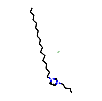 CCCCCCCCCCCCCCCCCC[n+]1ccn(CCCC)c1.[Br-]